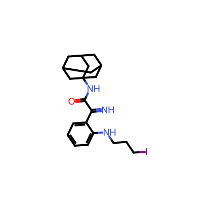 N=C(C(=O)NC12CC3CC(CC(C3)C1)C2)c1ccccc1NCCCI